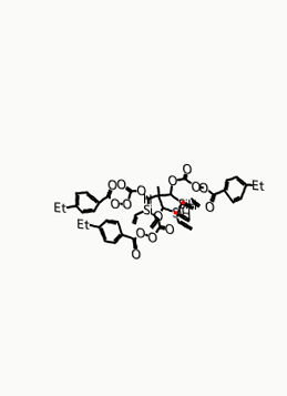 C=C[SiH](C=C)C(OC(=O)OOC(=O)c1ccc(CC)cc1)C(C)(C(OC(=O)OOC(=O)c1ccc(CC)cc1)[SiH](C=C)C=C)C(OC(=O)OOC(=O)c1ccc(CC)cc1)[SiH](C=C)C=C